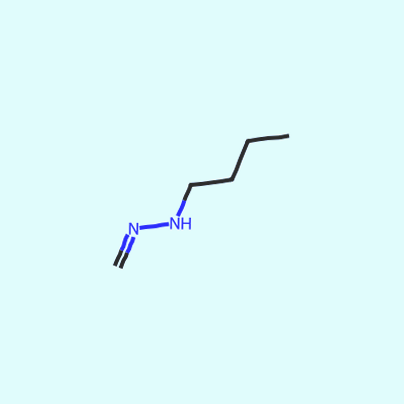 C=NNCCCC